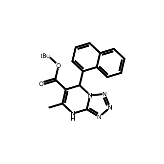 CC1=C(C(=O)OC(C)(C)C)C(c2cccc3ccccc23)n2nnnc2N1